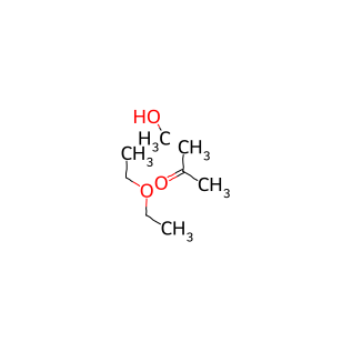 CC(C)=O.CCOCC.CO